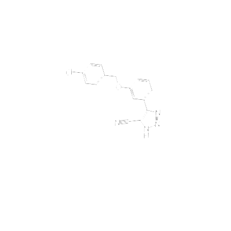 N#Cc1[nH]nnc1-c1cccc(OCc2ccc(Cl)cc2)c1